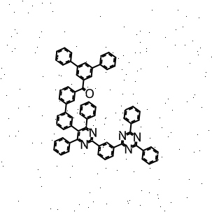 O=C(c1cccc(-c2cccc(-c3c(-c4ccccc4)nc(-c4cccc(-c5nc(-c6ccccc6)nc(-c6ccccc6)n5)c4)nc3-c3ccccc3)c2)c1)c1cc(-c2ccccc2)cc(-c2ccccc2)c1